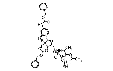 CC(C)OC(=O)C(C)NP(=O)(OCCS)OC[C@H]1O[C@@H](n2ccc(NC(=O)OCc3ccccc3)nc2=O)C(F)(F)C1OC(=O)OCc1ccccc1